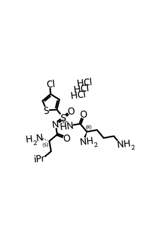 CC(C)C[C@H](N)C(=O)N=[S@@](=O)(NC(=O)[C@H](N)CCCN)c1cc(Cl)cs1.Cl.Cl.Cl